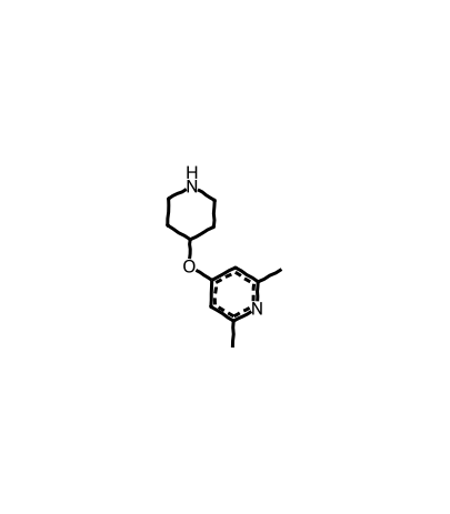 Cc1cc(OC2CCNCC2)cc(C)n1